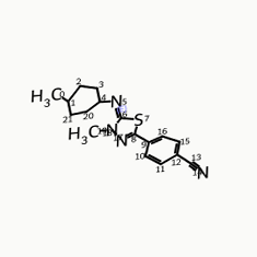 CC1CCC(/N=c2/sc(-c3ccc(C#N)cc3)nn2C)CC1